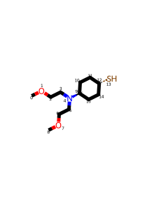 COCCN(CCOC)[C@H]1CC[C@H](S)CC1